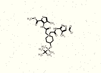 COC(=O)c1scc(C)c1NC(=O)C[N+]1(CC(=O)Nc2nocc2C)CCC(O[Si](C)(C)C(C)(C)C)CC1.O=C[O-]